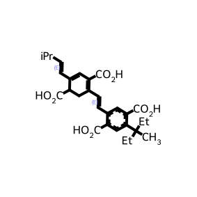 CCC(C)(CC)c1cc(C(=O)O)c(/C=C/C2=C(C(=O)O)C=C(/C=C/C(C)C)C(C(=O)O)C2)cc1C(=O)O